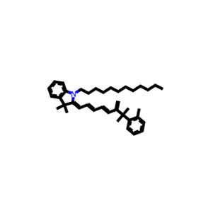 C=C(/C=C/C=C/C=C1\N(CCCCCCCCCCCC)c2ccccc2C1(C)C)C(C)(C)c1ccccc1C